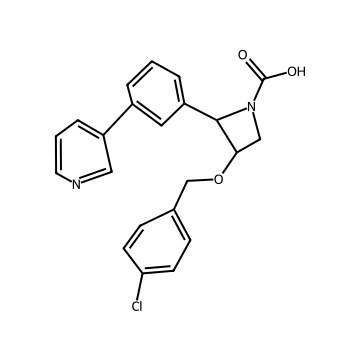 O=C(O)N1CC(OCc2ccc(Cl)cc2)C1c1cccc(-c2cccnc2)c1